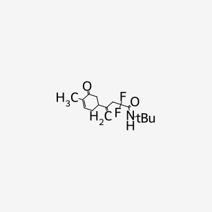 C=C(CC(F)(F)C(=O)NC(C)(C)C)C1CC=C(C)C(=O)C1